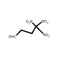 O=[C]CCC([N+](=O)[O-])([N+](=O)[O-])[N+](=O)[O-]